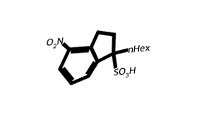 CCCCCCC1(S(=O)(=O)O)CCc2c([N+](=O)[O-])cccc21